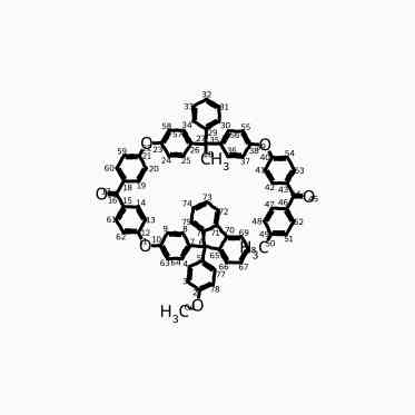 COc1ccc(C2(c3ccc(Oc4ccc(C(=O)c5ccc(Oc6ccc(C(C)(c7ccccc7)c7ccc(Oc8ccc(C(=O)c9ccc(C)cc9)cc8)cc7)cc6)cc5)cc4)cc3)c3ccccc3-c3ccccc32)cc1